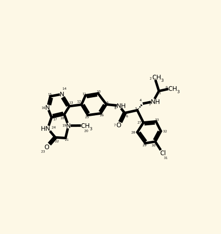 CC(C)NC[C@@H](C(=O)Nc1ccc(-c2ncnc3c2N(C)CC(=O)N3)cc1)c1ccc(Cl)cc1